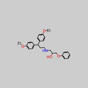 CCOc1ccc(C(CCNC[C@H](O)COc2ccccc2)c2ccc(OCC)cc2)cc1